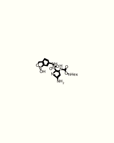 CCCCCCOC(=O)Nc1cc(N)cnc1S(=O)(=O)Nc1ccc2c(c1)B(O)OC2